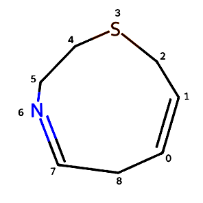 C1=CCSCCN=CC1